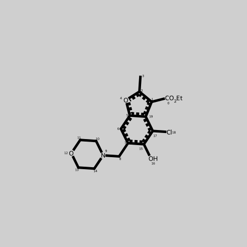 CCOC(=O)c1c(C)oc2cc(CN3CCOCC3)c(O)c(Cl)c12